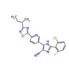 CCC(C)c1noc(-c2ccc(-c3[nH]c(-c4c(F)cccc4Cl)nc3C#N)cn2)n1